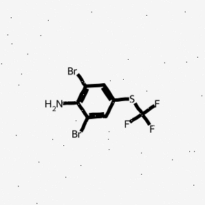 Nc1c(Br)cc(SC(F)(F)F)cc1Br